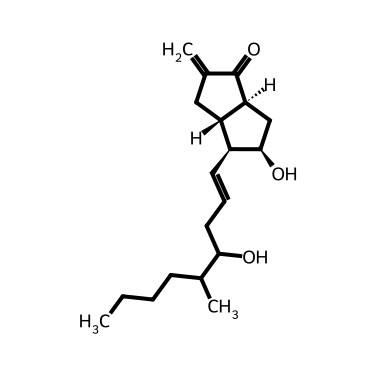 C=C1C[C@H]2[C@H](/C=C/CC(O)C(C)CCCC)[C@H](O)C[C@@H]2C1=O